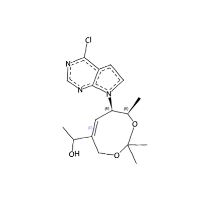 CC(O)/C1=C/[C@@H](n2ccc3c(Cl)ncnc32)[C@@H](C)OC(C)(C)OC1